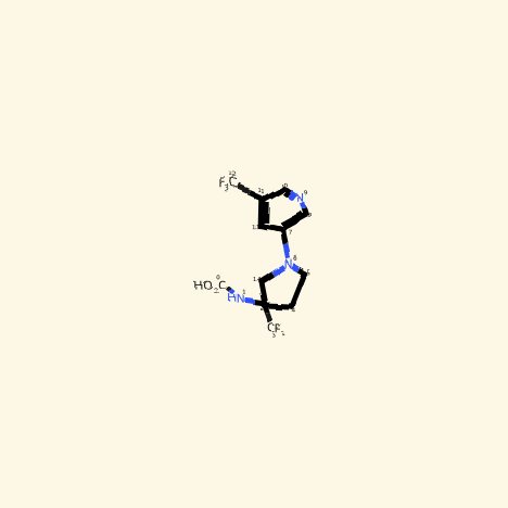 O=C(O)NC1(C(F)(F)F)CCN(c2cncc(C(F)(F)F)c2)C1